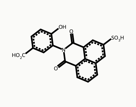 O=C(O)c1ccc(O)c(N2C(=O)c3cccc4cc(S(=O)(=O)O)cc(c34)C2=O)c1